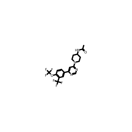 CC(=O)NC1CCN(c2cc(-c3ccc(OC(F)(F)F)c(C(F)(F)F)c3)ncn2)CC1